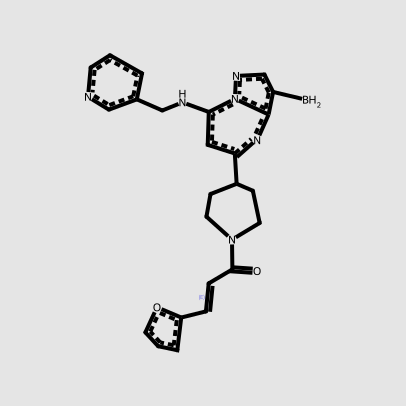 Bc1cnn2c(NCc3cccnc3)cc(C3CCN(C(=O)/C=C/c4ccco4)CC3)nc12